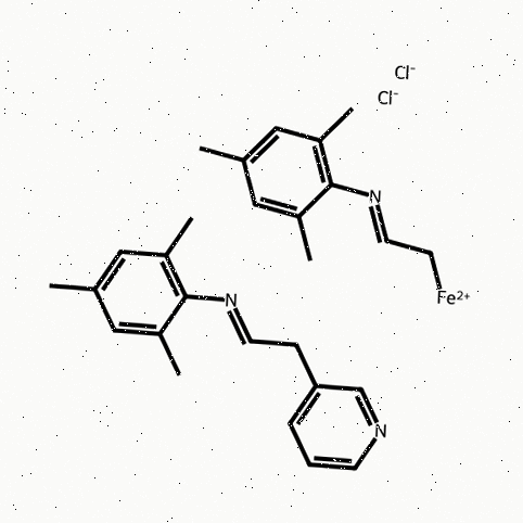 Cc1cc(C)c(N=CCc2cccnc2)c(C)c1.Cc1cc(C)c(N=C[CH2][Fe+2])c(C)c1.[Cl-].[Cl-]